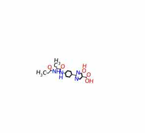 CCC(=O)N[C@@H](C)C(=O)Nc1ccc(-c2ncc(C(=O)O)c(O)n2)cc1